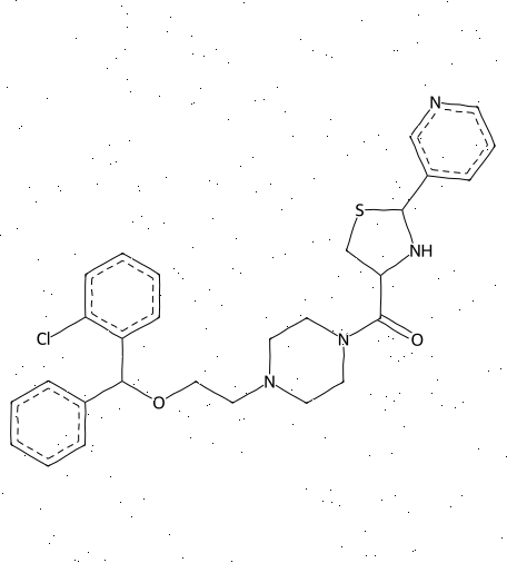 O=C(C1CSC(c2cccnc2)N1)N1CCN(CCOC(c2ccccc2)c2ccccc2Cl)CC1